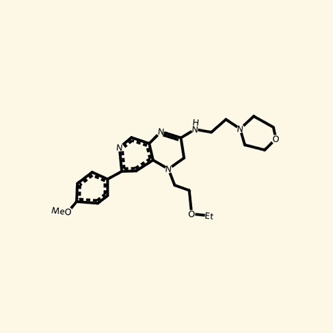 CCOCCN1CC(NCCN2CCOCC2)=Nc2cnc(-c3ccc(OC)cc3)cc21